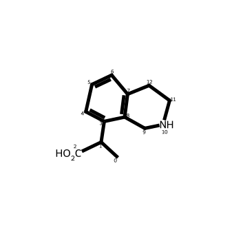 CC(C(=O)O)c1cccc2c1CNCC2